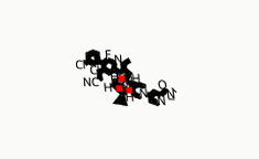 Cc1nc2c(F)c(-c3cccc(Cl)c3Cl)c(CCC#N)cc2c2c1cc([C@H]1[C@H]3C[C@H](CN(c4ccnc(C(=O)N(C)C)c4)C3)N1C(=O)C1CC1)n2[C@H]1[C@H]2CN[C@@H]1C2